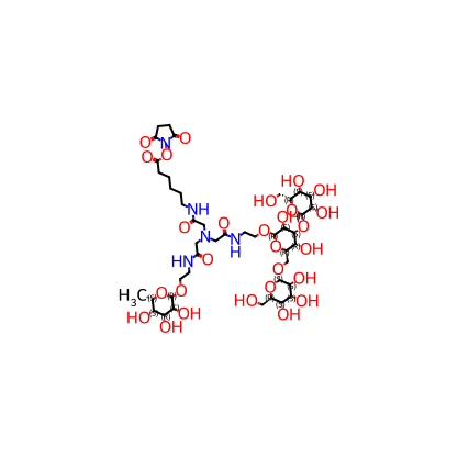 C[C@@H]1O[C@@H](OCCNC(=O)CN(CC(=O)NCCCCCC(=O)ON2C(=O)CCC2=O)CC(=O)NCCO[C@@H]2O[C@H](CO[C@H]3O[C@H](CO)[C@@H](O)[C@H](O)[C@@H]3O)[C@@H](O)[C@H](O[C@H]3O[C@H](CO)[C@@H](O)[C@H](O)[C@@H]3O)[C@@H]2O)[C@@H](O)[C@H](O)[C@@H]1O